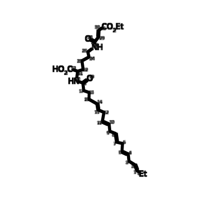 CCC=CCC=CCC=CCC=CCC=CCCCC(=O)NC(CCCCNC(=O)C=CC(=O)OCC)C(=O)O